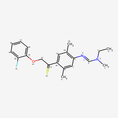 CCN(C)/C=N/c1cc(C)c(C(=S)COc2ccccc2F)cc1C